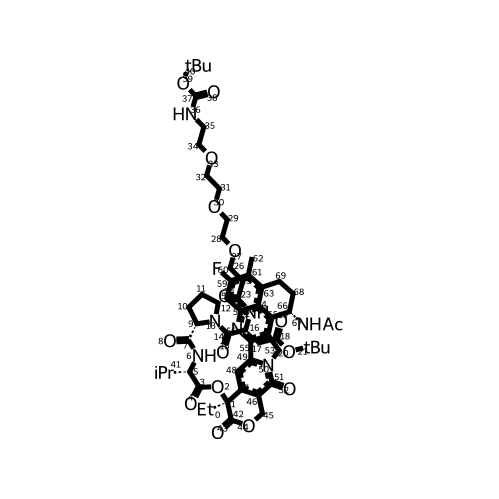 CC[C@@]1(OC(=O)[C@@H](NC(=O)[C@@H]2CCCN2C(=O)[C@H](CC(=O)OC(C)(C)C)NC(=O)CCOCCOCCOCCNC(=O)OC(C)(C)C)C(C)C)C(=O)OCc2c1cc1n(c2=O)Cc2c-1nc1cc(F)c(C)c3c1c2[C@@H](NC(C)=O)CC3